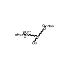 CCCCCCCCCC(=O)OCCCCCCN(CCCCO)CCCCCCSC(=O)C(CCCCCC)CCCCCCCC